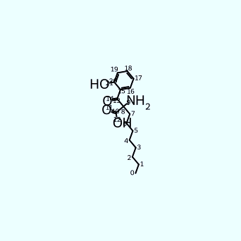 CCCCCCCCC(N)(C(=O)O)C(=O)c1ccccc1O